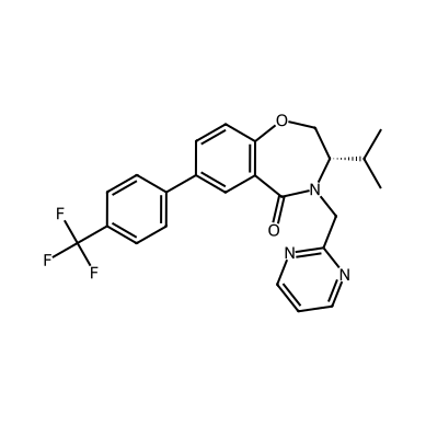 CC(C)[C@H]1COc2ccc(-c3ccc(C(F)(F)F)cc3)cc2C(=O)N1Cc1ncccn1